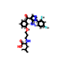 CC(C)C[C@H](NCCCOc1cccc(C(=O)c2cnn(-c3ccc(F)cc3F)c2N)c1)C(=O)O